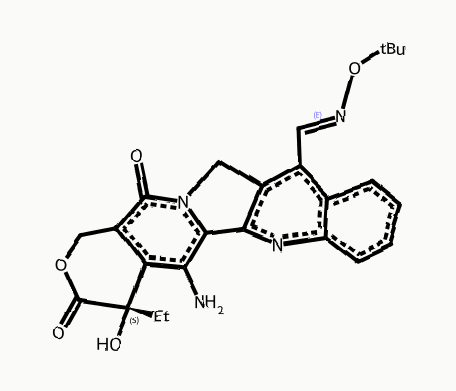 CC[C@@]1(O)C(=O)OCc2c1c(N)c1n(c2=O)Cc2c-1nc1ccccc1c2/C=N/OC(C)(C)C